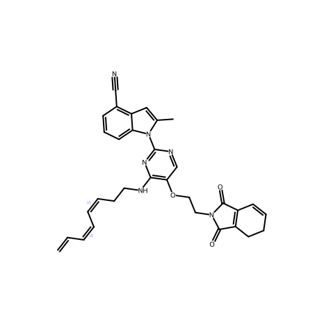 C=C/C=C\C=C/CCNc1nc(-n2c(C)cc3c(C#N)cccc32)ncc1OCCN1C(=O)C2=C(CCC=C2)C1=O